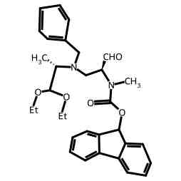 CCOC(OCC)[C@H](C)N(Cc1ccccc1)C[C@@H](C=O)N(C)C(=O)OC1c2ccccc2-c2ccccc21